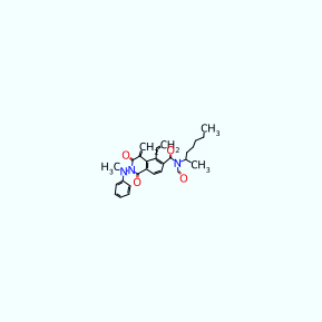 C=Cc1c(C(=O)N(C=O)C(C)CCCCC)ccc2c1C(=C)C(=O)N(N(C)c1ccccc1)C2=O